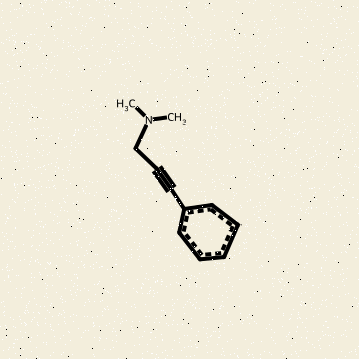 CN(C)CC#Cc1c[c]ccc1